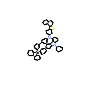 c1ccc(-n2c3ccccc3c3c(N(c4ccc(-c5cccc([Si](c6ccccc6)(c6ccccc6)c6ccccc6)c5)cc4)c4ccc5c(c4)sc4ccc6ccccc6c45)cccc32)cc1